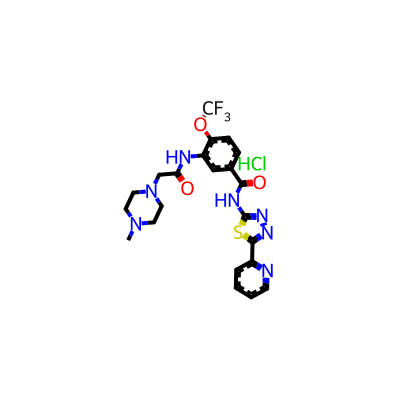 CN1CCN(CC(=O)Nc2cc(C(=O)Nc3nnc(-c4ccccn4)s3)ccc2OC(F)(F)F)CC1.Cl